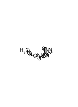 CN1CCN(Cc2ccc(NC(=O)c3ccc4nc(-c5cccnc5N5CCOCC5)[nH]c4c3)cc2)CC1